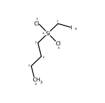 CCCC[Si](Cl)(Cl)CI